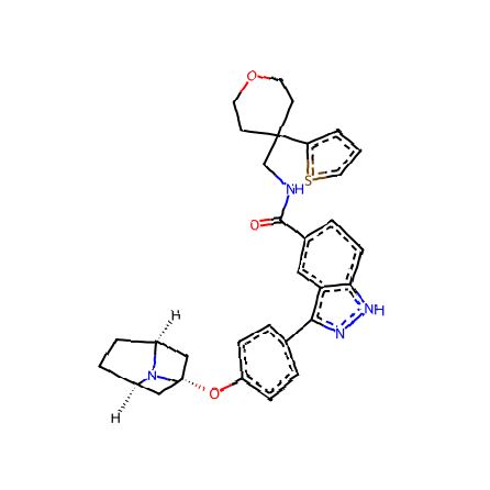 CN1[C@@H]2CC[C@H]1C[C@H](Oc1ccc(-c3n[nH]c4ccc(C(=O)NCC5(c6cccs6)CCOCC5)cc34)cc1)C2